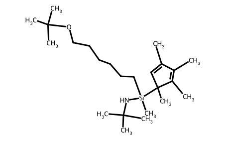 CC1=CC(C)([Si](C)(CCCCCCOC(C)(C)C)NC(C)(C)C)C(C)=C1C